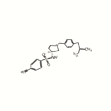 C#Cc1ccc(S(=O)(=O)N[C@@H]2CCN(Cc3ccc(CC(C)C)cc3)C2)cc1